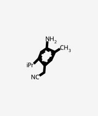 Cc1cc(CC#N)c(C(C)C)cc1N